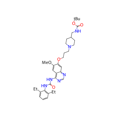 CCc1cccc(CC)c1NC(=O)Nc1ncnc2cc(OCCCN3CCC(CNC(=O)OC(C)(C)C)CC3)c(OC)cc12